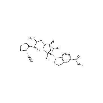 C[C@@H](CN1C[C@@H]2C[C@H]1C(=O)N2[C@H]1CCc2cc(C(N)=O)ccc21)C(=O)N1CCC[C@H]1C#N